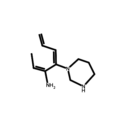 C=C/C=C(\C(N)=C/C)N1CCCNC1